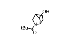 CC(C)(C)C(=O)N1CC2CCC1CC2O